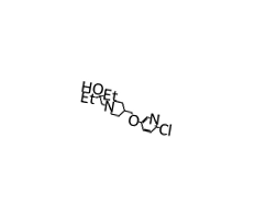 CCC(O)(CC)CN1CCC(COc2ccc(Cl)nc2)CC1